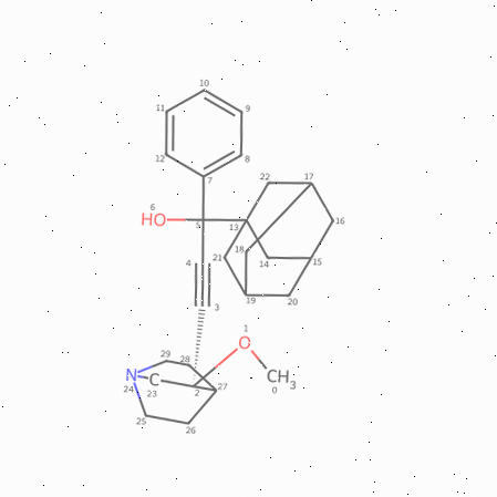 CO[C@]1(C#CC(O)(c2ccccc2)C23CC4CC(CC(C4)C2)C3)CN2CCC1CC2